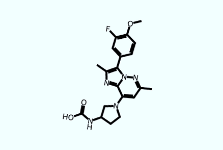 COc1ccc(-c2c(C)nc3c(N4CCC(NC(=O)O)C4)cc(C)nn23)cc1F